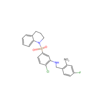 O=[N+]([O-])c1cc(F)ccc1CNc1cc(S(=O)(=O)N2CCCc3ccccc32)ccc1Cl